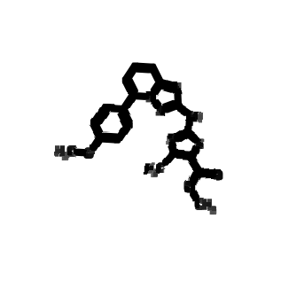 COC(=O)c1sc(Nc2nc3cccc(-c4ccc(OC)cc4)n3n2)nc1C